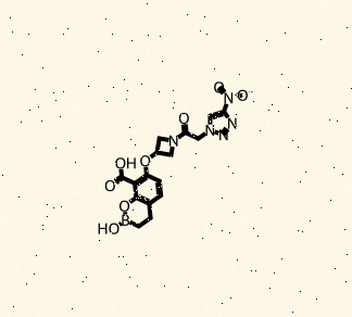 O=C(O)c1c(OC2CN(C(=O)Cn3cc([N+](=O)[O-])nn3)C2)ccc2c1OB(O)CC2